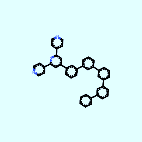 c1ccc(-c2cccc(-c3cccc(-c4cccc(-c5cccc(-c6cc(-c7ccncc7)nc(-c7ccncc7)c6)c5)c4)c3)c2)cc1